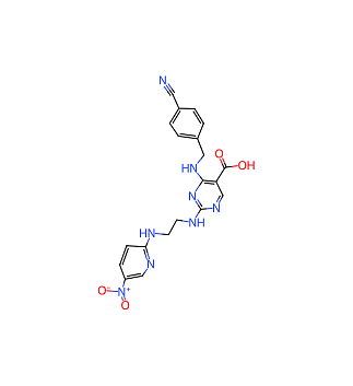 N#Cc1ccc(CNc2nc(NCCNc3ccc([N+](=O)[O-])cn3)ncc2C(=O)O)cc1